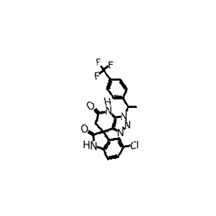 CC(c1ccc(C(F)(F)F)cc1)n1nnc2c1NC(=O)CC21C(=O)Nc2ccc(Cl)cc21